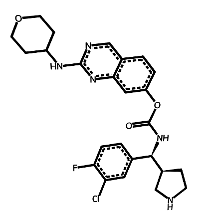 O=C(N[C@H](c1ccc(F)c(Cl)c1)[C@H]1CCNC1)Oc1ccc2cnc(NC3CCOCC3)nc2c1